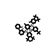 Cc1cc2c3c(c1)N(c1cccc4c1sc1ccccc14)c1cc4c(cc1B3c1cc(C(C)(C)C)ccc1N2c1cc2c(cc1C)C(C)(C)CC2(C)C)C(C)(C)CCC4(C)C